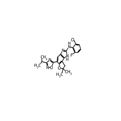 CC(C)c1noc(-c2cc3nc(Nc4c(F)cccc4Cl)[nH]c3c3c2OC(C)(C)C3)n1